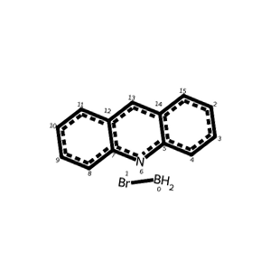 BBr.c1ccc2nc3ccccc3cc2c1